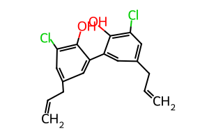 C=CCc1cc(Cl)c(O)c(-c2cc(CC=C)cc(Cl)c2O)c1